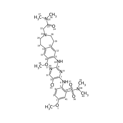 COc1ccc(Nc2nc(Nc3cc4c(cc3OC)CCN(CC(=O)N(C)C)CC4)ncc2Cl)c(S(=O)(=O)N(C)C)c1